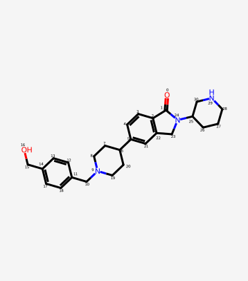 O=C1c2ccc(C3CCN(Cc4ccc(CO)cc4)CC3)cc2CN1C1CCCNC1